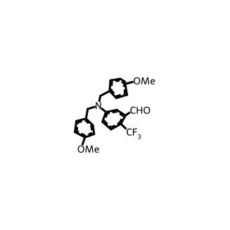 COc1ccc(CN(Cc2ccc(OC)cc2)c2ccc(C(F)(F)F)c(C=O)c2)cc1